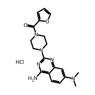 CN(C)c1ccc2c(N)nc(N3CCN(C(=O)c4ccco4)CC3)nc2c1.Cl